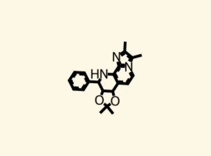 Cc1nc2c3c(ccn2c1C)C1OC(C)(C)OC1C(c1ccccc1)N3